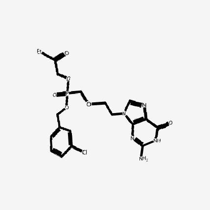 CCC(=O)COP(=O)(COCCn1cnc2c(=O)[nH]c(N)nc21)OCc1cccc(Cl)c1